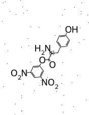 N[C@@H](Cc1ccc(O)cc1)C(=O)Oc1cc([N+](=O)[O-])cc([N+](=O)[O-])c1